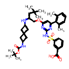 Cc1cccc(C)c1-c1cc(OCC(CC(C)(C)C)NC2CC3(CC(NC(=O)OC(C)(C)C)C3)C2)nc(NS(=O)(=O)c2cccc(C(=O)O)c2)n1